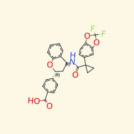 O=C(O)c1ccc([C@H]2C[C@@H](NC(=O)C3(c4ccc5c(c4)OC(F)(F)O5)CC3)c3ccccc3O2)cc1